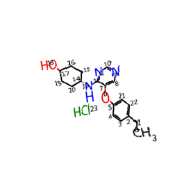 CCc1ccc(Oc2cncnc2N[C@H]2CC[C@H](O)CC2)cc1.Cl